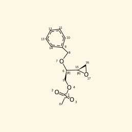 CS(=O)(=O)OC[C@@H](OCc1ccccc1)[C@H]1CO1